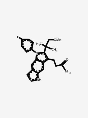 COCC(C)(C)c1c(CCC(N)=O)c2cc3[nH]ncc3cc2n1-c1ccc(F)cc1